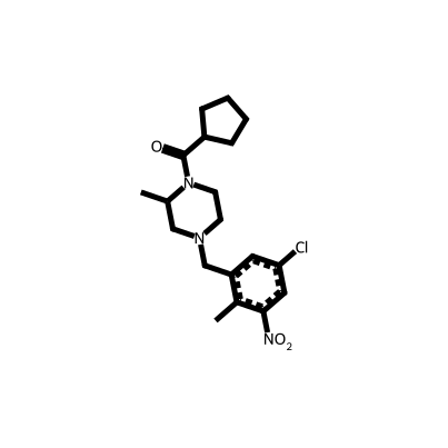 Cc1c(CN2CCN(C(=O)C3CCCC3)C(C)C2)cc(Cl)cc1[N+](=O)[O-]